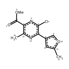 COC(=O)c1nc(Cl)c(-c2coc(C)c2)nc1C